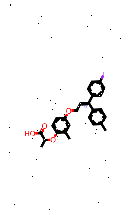 Cc1ccc(/C(=C\COc2ccc(OC(C)C(=O)O)c(C)c2)c2ccc(I)cc2)cc1